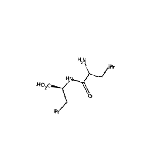 CC(C)CC(N)C(=O)N[C@@H](CC(C)C)C(=O)O